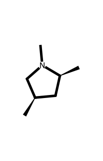 C[C@@H]1C[C@H](C)N(C)C1